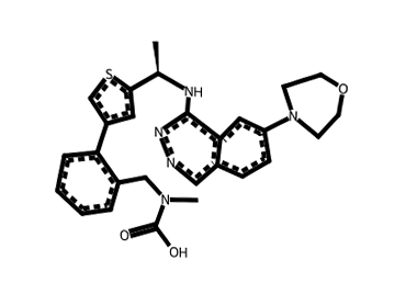 C[C@@H](Nc1nncc2ccc(N3CCOCC3)cc12)c1cc(-c2ccccc2CN(C)C(=O)O)cs1